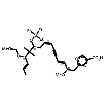 C/C=C/[C@@H](OCOC)C(C)(C)[C@H](C/C=C\C#C/C=C/[C@@H](Cc1nc(C(=O)O)co1)OC)O[Si](CC)(CC)CC